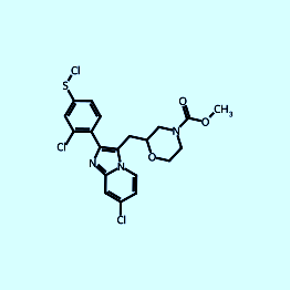 COC(=O)N1CCOC(Cc2c(-c3ccc(SCl)cc3Cl)nc3cc(Cl)ccn23)C1